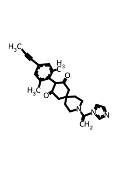 C=C(N1CCC2(CC1)CC(=O)C(c1c(C)cc(C#CC)cc1C)C(=O)C2)n1ccnc1